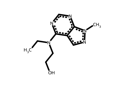 CCN(CCO)c1ncnc2c1cnn2C